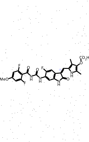 COc1cc(F)c(C(=O)NC(=O)Nc2cc3c(cc2F)/C(=C/c2[nH]c(C)c(OC(=O)O)c2C)C(=O)N3)c(F)c1